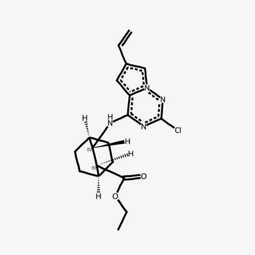 C=Cc1cc2c(N[C@H]3[C@H]4CC[C@H](CC4)[C@@H]3C(=O)OCC)nc(Cl)nn2c1